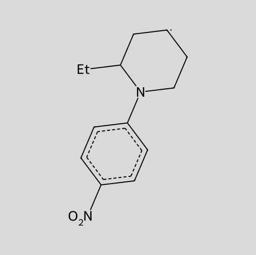 CCC1C[CH]CCN1c1ccc([N+](=O)[O-])cc1